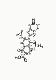 COc1c(-c2cc3c(s2)CCNC3)c(C2CC2)cc2c(=O)c(C(=O)O)c[nH]c12